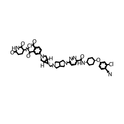 CN(C(=O)c1cc(N2C[C@@H]3[C@@H](CN4CC5CN(c6ccc(C(=O)N[C@H]7CC[C@H](Oc8ccc(C#N)c(Cl)c8)CC7)nn6)CC5C4)[C@@H]3C2)ccc1C=O)C1CCC(=O)NC1=O